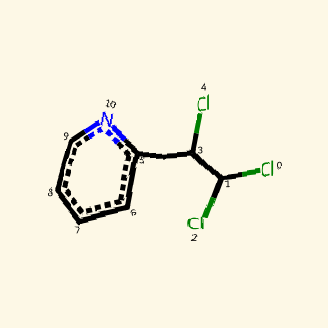 ClC(Cl)C(Cl)c1ccccn1